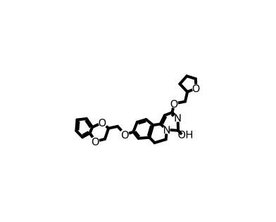 OC1N=C(OCC2CCCO2)C=C2c3ccc(OCC4COc5ccccc5O4)cc3CCN21